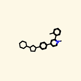 Cc1ccccc1-c1cc(-c2ccc(C3CCC(C4CCCCC4)C3)cc2)cc[n+]1C